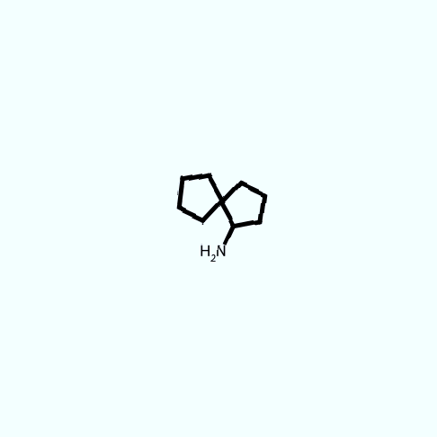 NC1CCCC12[CH]CCC2